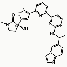 CC(Nc1nccc(-c2cccc(-c3cc([C@]4(O)CCN(C)C4=O)on3)n2)n1)c1ccc2nccn2c1